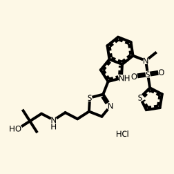 CN(c1cccc2cc(C3=NCC(CCNCC(C)(C)O)S3)[nH]c12)S(=O)(=O)c1cccs1.Cl